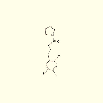 O=C(CCCc1cc(F)c(F)cc1F)N1CCCC1